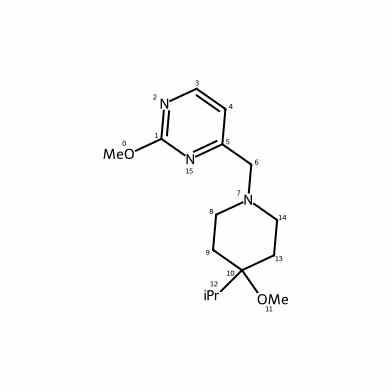 COc1nccc(CN2CCC(OC)(C(C)C)CC2)n1